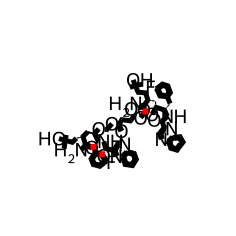 CC(C)(O)CC[C@H](C[C@@H](OCOC(=O)CCC(=O)OCO[C@H](C[C@@H](CCC(C)(C)O)C(N)=O)[C@H](Cc1cccc(F)c1)NC(=O)c1cnc2ccccc2n1)[C@H](Cc1cccc(F)c1)NC(=O)c1cnc2ccccc2n1)C(N)=O